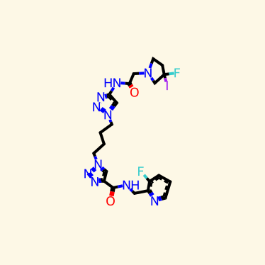 O=C(CN1CCC(F)(I)C1)Nc1cn(CCCCn2cc(C(=O)NCc3ncccc3F)nn2)nn1